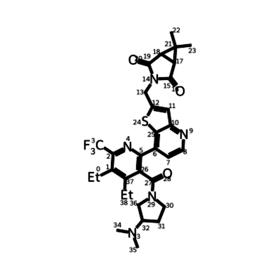 CCc1c(C(F)(F)F)nc(-c2ccnc3cc(CN4C(=O)C5C(C4=O)C5(C)C)sc23)c(C(=O)N2CCC(N(C)C)C2)c1CC